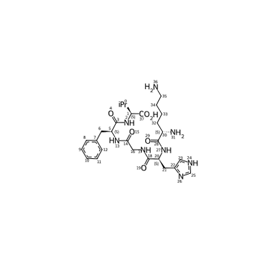 CC(C)[C@H](NC(=O)[C@H](Cc1ccccc1)NC(=O)CNC(=O)[C@H](Cc1c[nH]cn1)NC(=O)[C@@H](N)CCCCN)C(=O)O